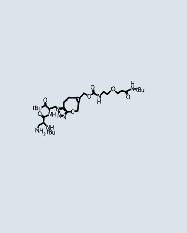 CC(C)(C)NC(=O)CCOCCNC(=O)OCC1C2CCc3nnn(CC(NC(=O)C(CN)NC(C)(C)C)C(=O)C(C)(C)C)c3CCC21